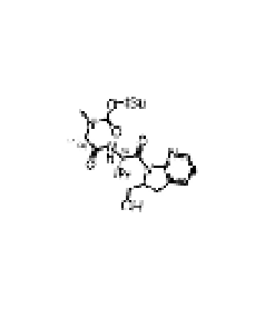 CC(C)[C@H](NC(=O)[C@H](C)N(C)C(=O)OC(C)(C)C)C(=O)N1c2ncccc2CC1CO